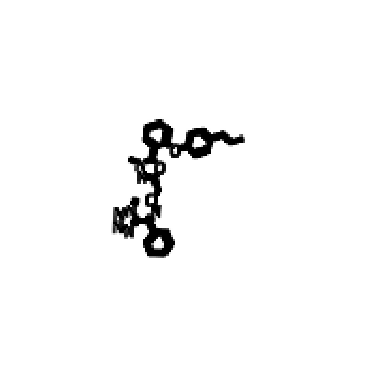 CCCc1ccc(Oc2ccccc2C2OC(CO/N=C(/c3ccccc3)c3nnnn3C)=NN2C)cc1